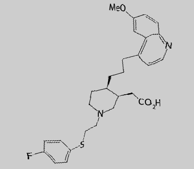 COc1ccc2nccc(CCC[C@@H]3CCN(CCSc4ccc(F)cc4)C[C@@H]3CC(=O)O)c2c1